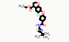 CCOC(=O)C1CCOc2cc(Oc3ccc(C(=O)Nc4nc(C(C)(C)C)cs4)cc3)c(Cl)cc21